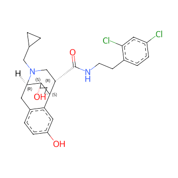 O=C(NCCc1ccc(Cl)cc1Cl)[C@@H]1C[C@]23CCN(CC4CC4)[C@H](Cc4ccc(O)cc42)[C@]3(O)C1